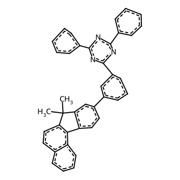 CC1(C)c2cc(-c3cccc(-c4nc(-c5ccccc5)nc(-c5ccccc5)n4)c3)ccc2-c2c1ccc1ccccc21